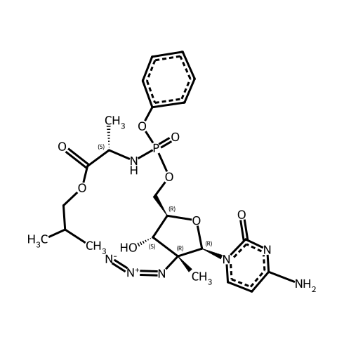 CC(C)COC(=O)[C@H](C)NP(=O)(OC[C@H]1O[C@@H](n2ccc(N)nc2=O)[C@](C)(N=[N+]=[N-])[C@@H]1O)Oc1ccccc1